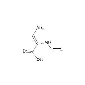 C=CN/C(=C\N)C(=O)O